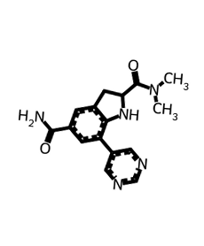 CN(C)C(=O)C1Cc2cc(C(N)=O)cc(-c3cncnc3)c2N1